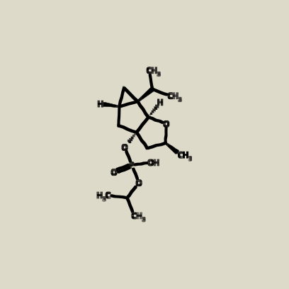 CC(C)OP(=O)(O)O[C@]12C[C@@H]3C[C@]3(C(C)C)[C@H]1O[C@@H](C)C2